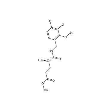 CCOc1c(CNC(=O)[C@H](N)CCC(=O)OC(C)(C)C)ccc(Cl)c1Cl